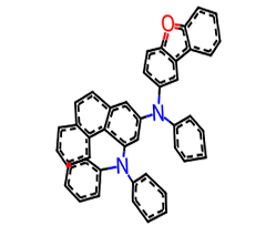 c1ccc(N(c2cc(N(c3ccccc3)c3ccccc3)c3c(ccc4ccccc43)c2)c2ccc3oc4ccccc4c3c2)cc1